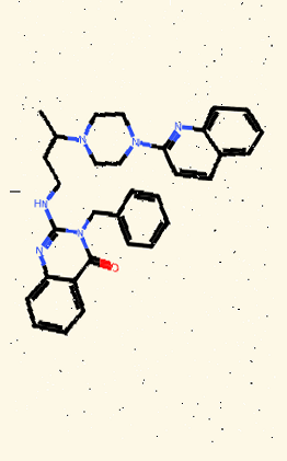 CC(CCNc1nc2ccccc2c(=O)n1Cc1ccccc1)N1CCN(c2ccc3ccccc3n2)CC1